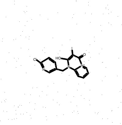 O=c1c(I)c(O)n(Cc2ccc(Cl)nc2)c2cccc[n+]12